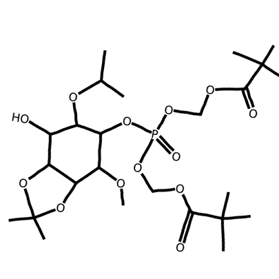 COC1C2OC(C)(C)OC2C(O)C(OC(C)C)C1OP(=O)(OCOC(=O)C(C)(C)C)OCOC(=O)C(C)(C)C